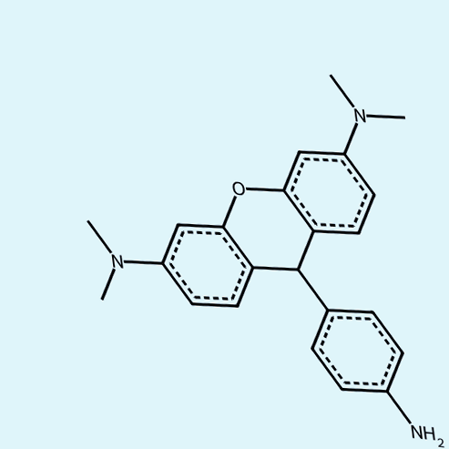 CN(C)c1ccc2c(c1)Oc1cc(N(C)C)ccc1C2c1ccc(N)cc1